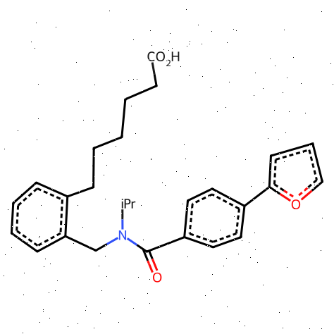 CC(C)N(Cc1ccccc1CCCCCC(=O)O)C(=O)c1ccc(-c2ccco2)cc1